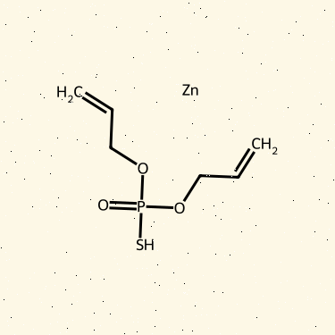 C=CCOP(=O)(S)OCC=C.[Zn]